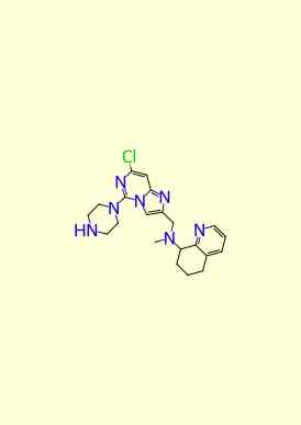 CN(Cc1cn2c(N3CCNCC3)nc(Cl)cc2n1)C1CCCc2cccnc21